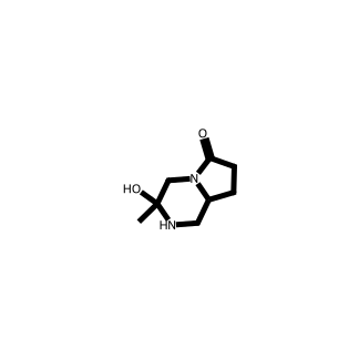 CC1(O)CN2C(=O)CCC2CN1